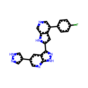 Fc1ccc(-c2cncc3[nH]c(-c4n[nH]c5ncc(-c6cn[nH]c6)cc45)cc23)cc1